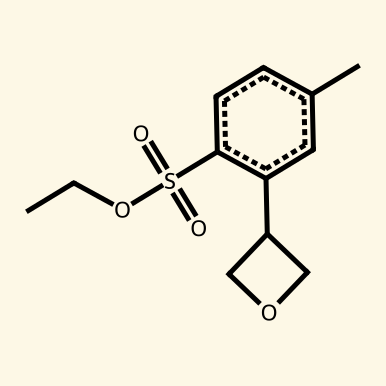 CCOS(=O)(=O)c1ccc(C)cc1C1COC1